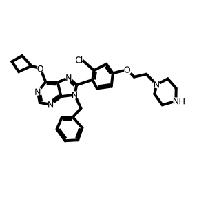 Clc1cc(OCCN2CCNCC2)ccc1-c1nc2c(OC3CCC3)ncnc2n1Cc1ccccc1